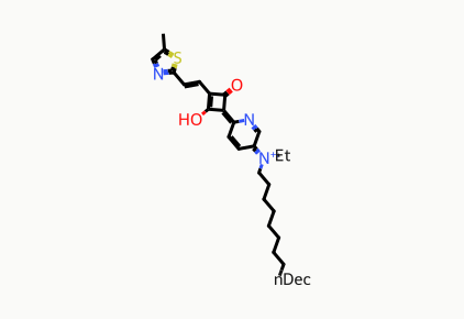 CCCCCCCCCCCCCCCCCC/[N+](CC)=C1C=C/C(=C2/C(=O)C(/C=C/c3ncc(C)s3)=C2O)N=C\1